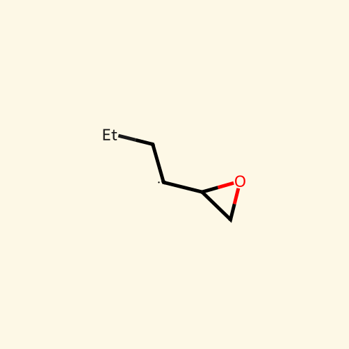 CCC[CH]C1CO1